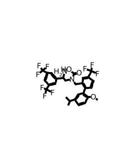 COc1ccc(C(C)C)cc1-c1ccc(C(F)(F)F)cc1CN(CC(N)c1cc(C(F)(F)F)cc(C(F)(F)F)c1)C(=O)O